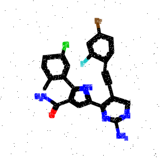 Cc1ccc(Cl)cc1-c1[nH]c(-c2nc(N)ncc2C#Cc2ccc(Br)cc2F)cc1C(N)=O